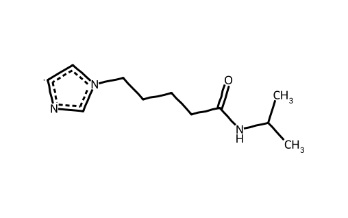 CC(C)NC(=O)CCCCn1c[c]nc1